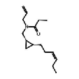 C=CCN(C[C@@H]1C[C@@H]1CC/C=C\CC)C(=O)CC